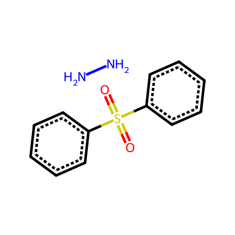 NN.O=S(=O)(c1ccccc1)c1ccccc1